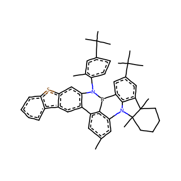 Cc1cc2c3c(c1)N1c4c(cc(C(C)(C)C)cc4C4(C)CCCCC14C)B3N(c1ccc(C(C)(C)C)cc1C)c1cc3sc4ccccc4c3cc1-2